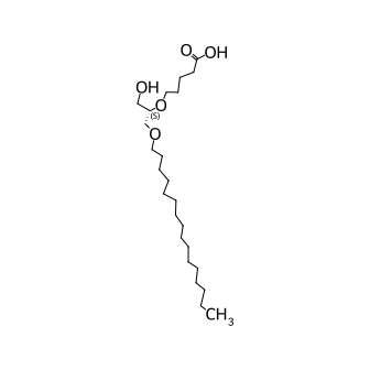 CCCCCCCCCCCCCCCCOC[C@H](CO)OCCCCC(=O)O